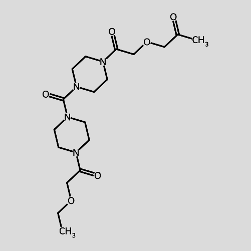 CCOCC(=O)N1CCN(C(=O)N2CCN(C(=O)COCC(C)=O)CC2)CC1